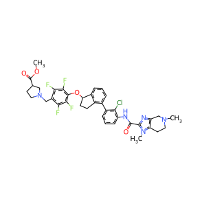 COC(=O)C1CCN(Cc2c(F)c(F)c(OC3CCc4c(-c5cccc(NC(=O)c6nc7c(n6C)CCN(C)C7)c5Cl)cccc43)c(F)c2F)C1